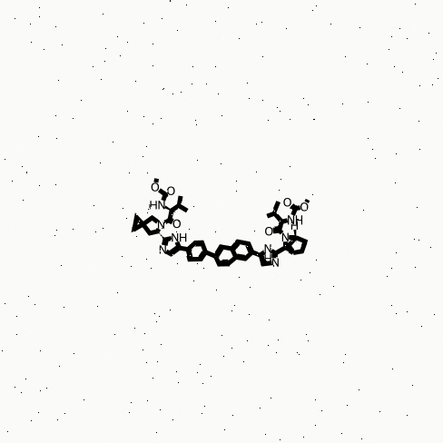 COC(=O)NC(C(=O)N1C(c2ncc(-c3ccc4cc(-c5ccc(-c6cnc([C@@H]7CC8(CC8)CN7C(=O)[C@@H](NC(=O)OC)C(C)C)[nH]6)cc5)ccc4c3)[nH]2)C2CC[C@@H]1C2)C(C)C